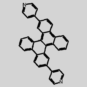 c1ccc2c(c1)c1ccc(-c3ccncc3)cc1c1c3ccccc3c3ccc(-c4ccncc4)cc3c21